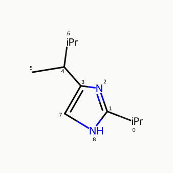 CC(C)c1nc(C(C)C(C)C)c[nH]1